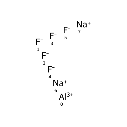 [Al+3].[F-].[F-].[F-].[F-].[F-].[Na+].[Na+]